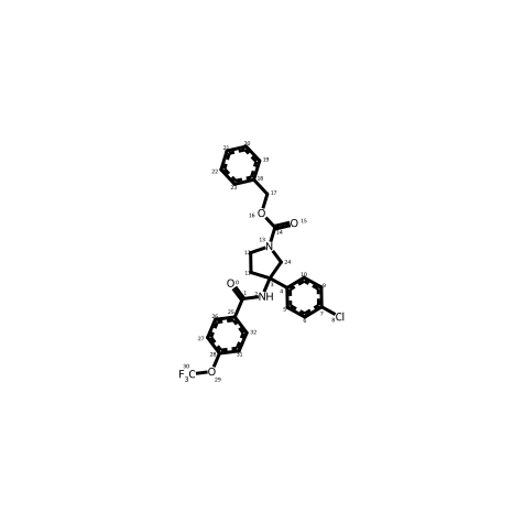 O=C(NC1(c2ccc(Cl)cc2)CCN(C(=O)OCc2ccccc2)C1)c1ccc(OC(F)(F)F)cc1